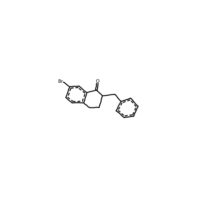 O=C1c2cc(Br)ccc2CCC1Cc1ccccc1